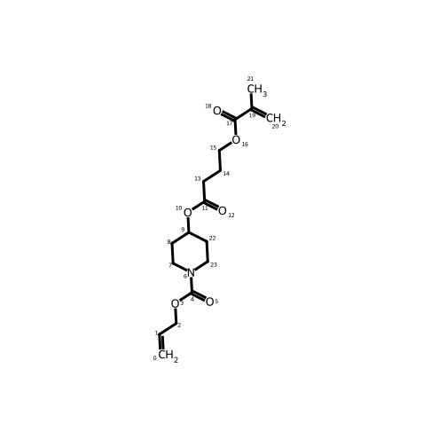 C=CCOC(=O)N1CCC(OC(=O)CCCOC(=O)C(=C)C)CC1